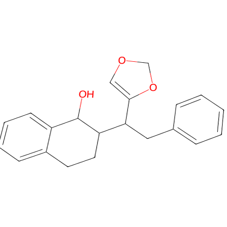 OC1c2ccccc2CCC1C(Cc1ccccc1)C1=COCO1